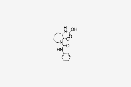 O=C(O)N[C@H]1CCCCN(C(=O)Nc2ccccc2)C1=O